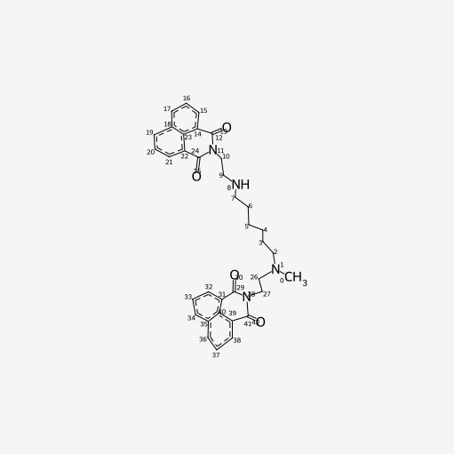 CN(CCCCCCNCCN1C(=O)c2cccc3cccc(c23)C1=O)CCN1C(=O)c2cccc3cccc(c23)C1=O